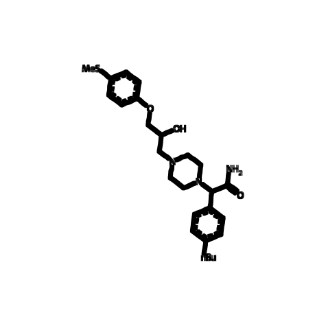 CCCCc1ccc(C(C(N)=O)N2CCN(CC(O)COc3ccc(SC)cc3)CC2)cc1